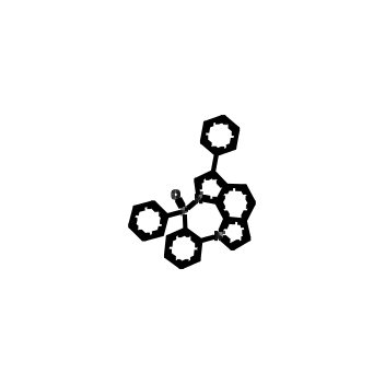 O=P1(c2ccccc2)c2ccccc2-n2ccc3ccc4c(-c5ccccc5)cn1c4c32